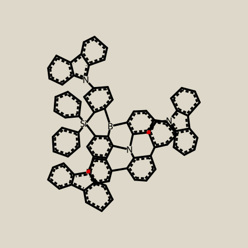 c1ccc(-c2cccc(-c3ccccc3)c2N2c3cc(-n4c5ccccc5c5ccccc54)ccc3B3c4ccc(-n5c6ccccc6c6ccccc65)cc4[Si](c4ccccc4)(c4ccccc4)c4cc(-n5c6ccccc6c6ccccc65)cc2c43)cc1